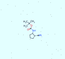 CC(C)(C)OC(=O)NC1CCCC1C#N